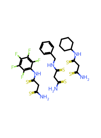 NC(=S)CC(=S)NC1CCCCC1.NC(=S)CC(=S)NCc1ccccc1.NC(=S)CC(=S)Nc1c(F)c(F)c(F)c(F)c1F